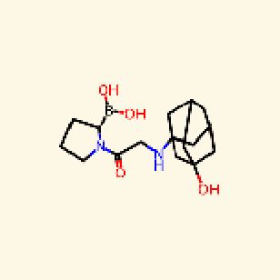 O=C(CNC12CC3CC(CC(O)(C3)C1)C2)N1CCC[C@H]1B(O)O